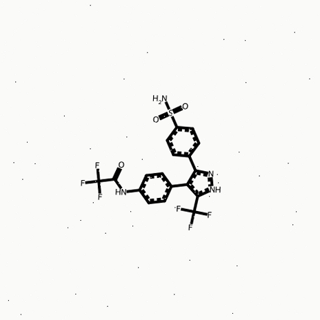 NS(=O)(=O)c1ccc(-c2n[nH]c(C(F)(F)F)c2-c2ccc(NC(=O)C(F)(F)F)cc2)cc1